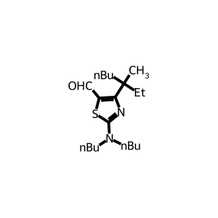 CCCCN(CCCC)c1nc(C(C)(CC)CCCC)c(C=O)s1